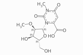 CO[C@@H]1[C@H](O)[C@@H](CO)O[C@H]1n1c(C(=O)O)cc(=O)n(C)c1=O